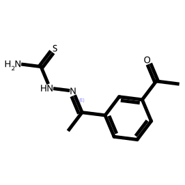 CC(=O)c1cccc(/C(C)=N/NC(N)=S)c1